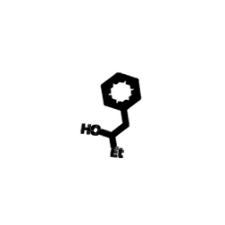 [CH2]CC(O)Cc1ccccc1